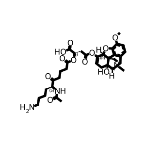 COc1ccc2c3c1O[C@H]1C(OC(=O)C[C@H](OC(=O)CCCC(=O)[C@H](CCCCN)NC(C)=O)C(=O)O)=CC[C@@]4(O)[C@@H](C2)N(C)CC[C@]314